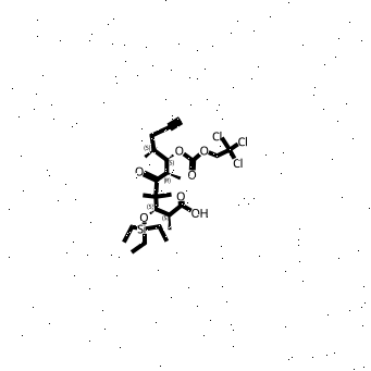 C#CC[C@H](C)[C@H](OC(=O)OCC(Cl)(Cl)Cl)[C@@H](C)C(=O)C(C)(C)[C@@H](O[Si](CC)(CC)CC)[C@H](C)C(=O)O